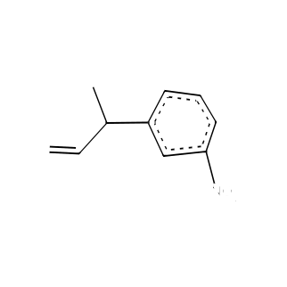 [CH2]C(C=C)c1cccc([N+](=O)[O-])c1